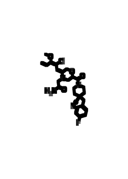 C=C/C(OC)=C(Cl)\C=C1/COC(C(=O)N2CCC(C#N)(Cc3ccc(F)cc3)CC2)CN1CC(N)=O